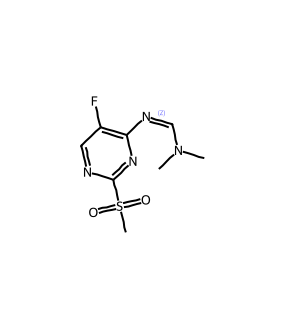 CN(C)/C=N\c1nc(S(C)(=O)=O)ncc1F